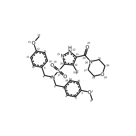 COc1ccc(CN(Cc2ccc(OC)cc2)S(=O)(=O)c2n[nH]c(C(=O)N3CCOCC3)c2F)cc1